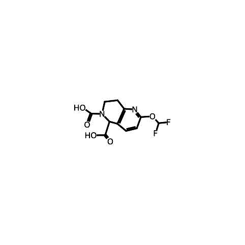 O=C(O)C1c2ccc(OC(F)F)nc2CCN1C(=O)O